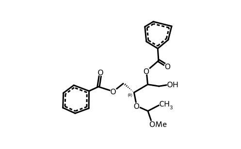 COC(C)O[C@H](COC(=O)c1ccccc1)C(CO)OC(=O)c1ccccc1